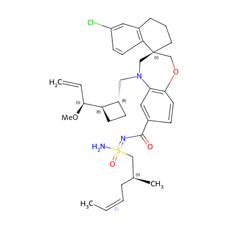 C=C[C@H](OC)[C@@H]1CC[C@H]1CN1C[C@@]2(CCCc3cc(Cl)ccc32)COc2ccc(C(=O)N=S(N)(=O)C[C@@H](C)C/C=C\C)cc21